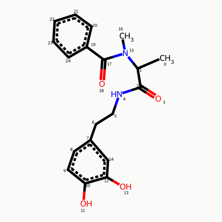 CC(C(=O)NCCc1ccc(O)c(O)c1)N(C)C(=O)c1ccccc1